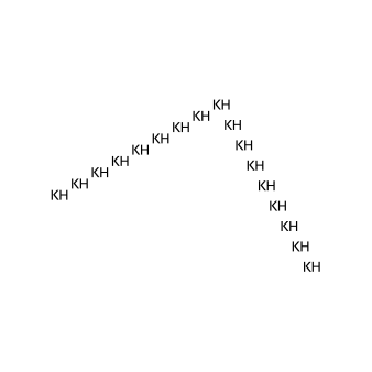 [KH].[KH].[KH].[KH].[KH].[KH].[KH].[KH].[KH].[KH].[KH].[KH].[KH].[KH].[KH].[KH].[KH]